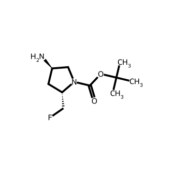 CC(C)(C)OC(=O)N1C[C@H](N)C[C@H]1CF